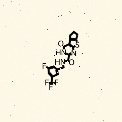 O=C(NCc1cc(F)cc(C(F)(F)F)c1)c1nc2sc3c(c2c(=O)[nH]1)CCC3